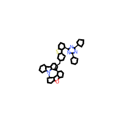 c1ccc(-c2nc(-c3ccccc3)nc(-c3cccc4sc5cc(CCCc6cccc7oc8cccc(-n9c%10ccccc%10c%10ccccc%109)c8c67)ccc5c34)n2)cc1